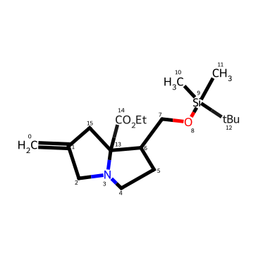 C=C1CN2CCC(CO[Si](C)(C)C(C)(C)C)C2(C(=O)OCC)C1